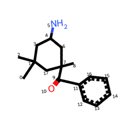 CC1(C)CC(N)CC(C)(C(=O)c2ccccc2)C1